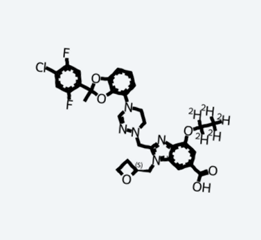 [2H]C([2H])([2H])C([2H])([2H])Oc1cc(C(=O)O)cc2c1nc(CN1CCN(c3cccc4c3OC(C)(c3cc(F)c(Cl)cc3F)O4)C=N1)n2C[C@@H]1CCO1